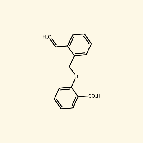 C=Cc1ccccc1COc1ccccc1C(=O)O